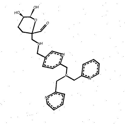 O=CC1(CNCc2ccc(CN(Cc3ccccn3)Cc3ccccn3)nc2)CC[C@@H](O)[C@@H](O)O1